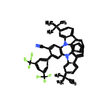 CC(C)(C)c1ccc2c3ccccc3n(-c3cc(C#N)c(-c4cc(C(F)(F)F)cc(C(F)(F)F)c4)cc3-n3c4ccccc4c4ccc(C(C)(C)C)cc43)c2c1